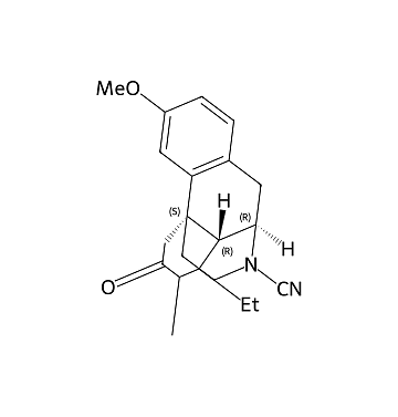 CCC1C(C)C(=O)C[C@]23CCN(C#N)[C@H](Cc4ccc(OC)cc42)[C@H]13